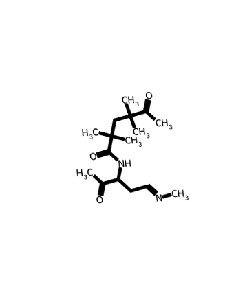 C/N=C/CC(NC(=O)C(C)(C)CC(C)(C)C(C)=O)C(C)=O